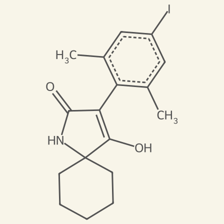 Cc1cc(I)cc(C)c1C1=C(O)C2(CCCCC2)NC1=O